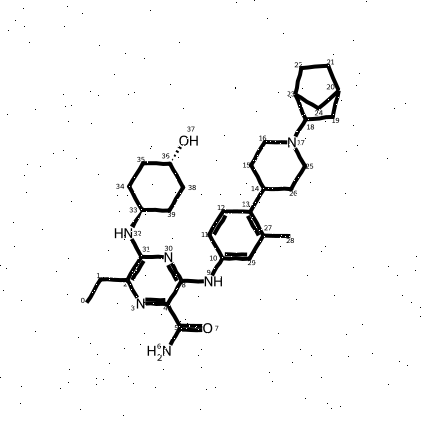 CCc1nc(C(N)=O)c(Nc2ccc(C3CCN(C4CC5CCC4C5)CC3)c(C)c2)nc1N[C@H]1CC[C@H](O)CC1